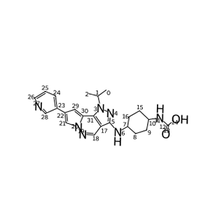 CC(C)n1nc(NC2CCC(NC(=O)O)CC2)c2cnn3cc(-c4cccnc4)cc3c21